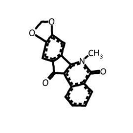 Cn1c2c(c3ccccc3c1=O)C(=O)c1cc3c(cc1-2)OCO3